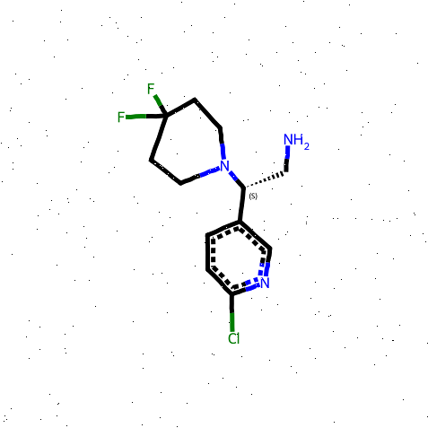 NC[C@H](c1ccc(Cl)nc1)N1CCC(F)(F)CC1